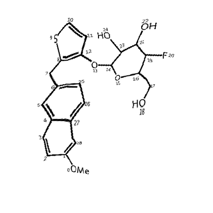 COc1ccc2cc(Cc3sccc3OC3OC(CO)C(F)C(O)C3O)ccc2c1